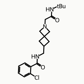 CC(C)(C)NC(=O)CN1CC2(CC(CNC(=O)c3ccccc3Cl)C2)C1